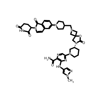 Cn1cc(Nc2nc(N3CCC[C@@H](N4CC5(CN(CC6CCN(c7ccc8c(=O)n(C9CCC(=O)NC9=O)ccc8c7)CC6)C5)OC4=O)C3)cnc2C(N)=O)cn1